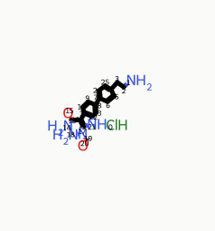 Cl.NCCc1ccc(-c2ccc3c(C(N)=O)c(N(N)C=O)[nH]c3c2)cc1